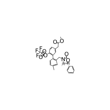 COC(=O)Cc1ccc(OS(=O)(=O)C(F)(F)F)c(-c2ccc(C)cc2CN2C(=O)O[C@H](c3ccccc3)[C@@H]2C)c1